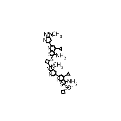 Cn1cnc2ncc(-c3cc(C4CC4)c4c(N)c(SC5CCC5c5nc6ncc(-c7cc(C8CC8)c8c(N)c([S+]([O-])C9CCC9)sc8n7)cc6n5C)sc4n3)cc21